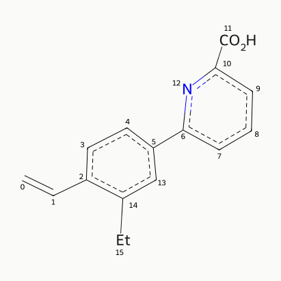 C=Cc1ccc(-c2cccc(C(=O)O)n2)cc1CC